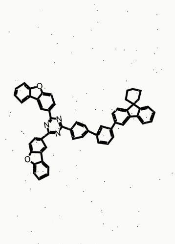 c1cc(-c2ccc(-c3nc(-c4ccc5oc6ccccc6c5c4)nc(-c4ccc5oc6ccccc6c5c4)n3)cc2)cc(-c2ccc3c(c2)-c2ccccc2C32CCCCC2)c1